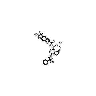 CC(=O)N1CC[C@H]2CC[C@@H](C(=O)N3CC(C#N)(c4ccccn4)C3)N2C(=O)[C@@H](NC(=O)c2cc3cc(C(F)(F)P(O)O)ccc3s2)C1